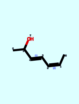 C/C=C\C=C\C(C)O